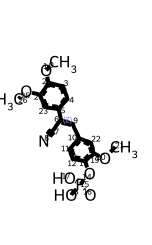 COc1ccc(/C(C#N)=C/c2ccc(OP(=O)(O)O)c(OC)c2)cc1OC